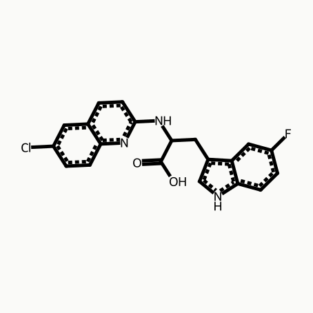 O=C(O)C(Cc1c[nH]c2ccc(F)cc12)Nc1ccc2cc(Cl)ccc2n1